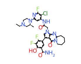 CCN1CCN(c2cc(NC(=O)Cn3cc(-c4cc(C(N)=O)c(O)c(F)c4F)c4c(=O)n5c(nc43)CCCCC5)c(Cl)c(F)n2)[C@@H](C)C1